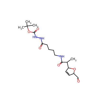 CC(C(=O)NCCCCC(=O)NNC(=O)OC(C)(C)C)C1C=CC(C=O)O1